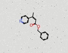 CC(=CC(=O)OCc1ccccc1)c1ccncc1